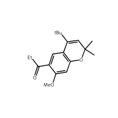 CCC(=O)c1cc2c(cc1OC)OC(C)(C)C=C2C(C)(C)C